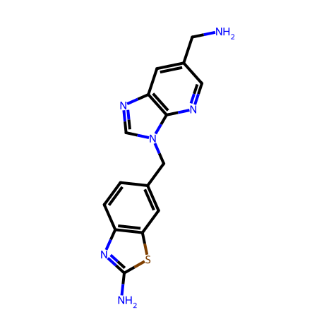 NCc1cnc2c(c1)ncn2Cc1ccc2nc(N)sc2c1